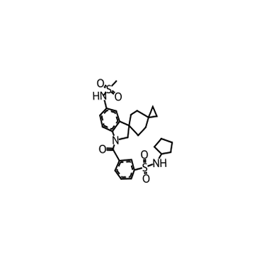 CS(=O)(=O)Nc1ccc2c(c1)C1(CCC3(CC3)CC1)CN2C(=O)c1cccc(S(=O)(=O)NC2CCCC2)c1